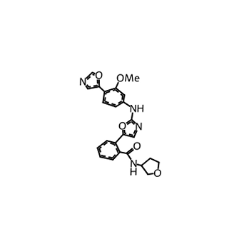 COc1cc(Nc2ncc(-c3ccccc3C(=O)NC3CCOC3)o2)ccc1-c1cnco1